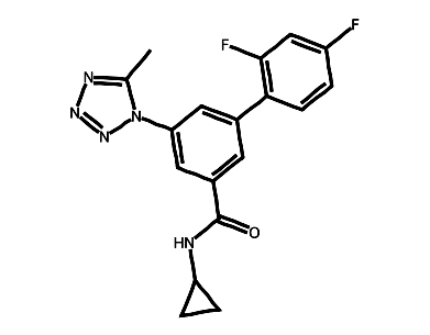 Cc1nnnn1-c1cc(C(=O)NC2CC2)cc(-c2ccc(F)cc2F)c1